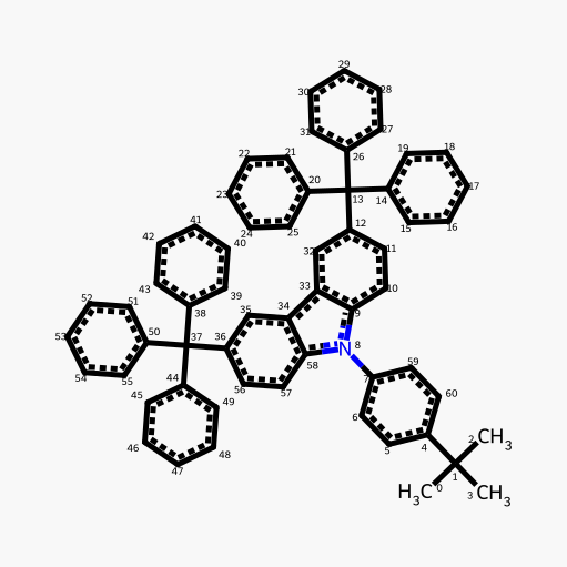 CC(C)(C)c1ccc(-n2c3ccc(C(c4ccccc4)(c4ccccc4)c4ccccc4)cc3c3cc(C(c4ccccc4)(c4ccccc4)c4ccccc4)ccc32)cc1